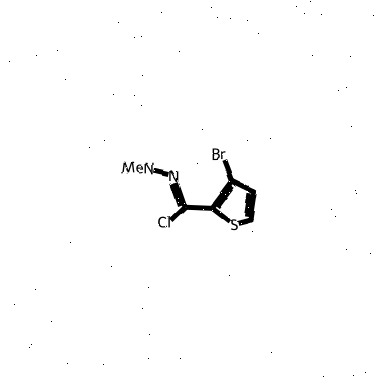 CN/N=C(\Cl)c1sccc1Br